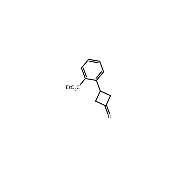 CCOC(=O)c1ccccc1C1CC(=O)C1